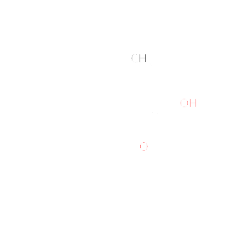 CC(C(=O)O)C1CCc2ccccc21